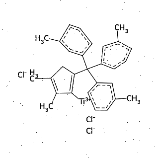 CC1=C(C)[C]([Ti+3])=C(C(c2cccc(C)c2)(c2cccc(C)c2)c2cccc(C)c2)C1.[Cl-].[Cl-].[Cl-]